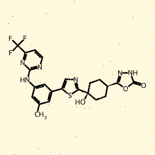 Cc1cc(Nc2nccc(C(F)(F)F)n2)cc(-c2cnc([C@]3(O)CC[C@@H](c4n[nH]c(=O)o4)CC3)s2)c1